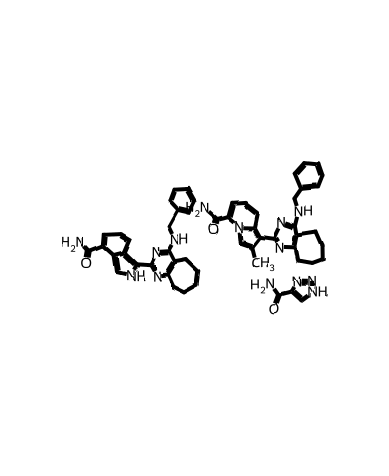 Cc1cn2c(C(N)=O)cccc2c1-c1nc2c(c(NCc3ccccc3)n1)CCCCC2.NC(=O)c1c[nH]nn1.NC(=O)c1cccc2c(-c3nc4c(c(NCc5ccccc5)n3)CCCCC4)[nH]cc12